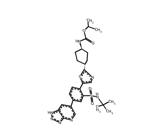 CC(C)OC(=O)N[C@H]1CC[C@H](c2ncc(-c3ccc(-c4cnc5nn[nH]c5c4)cc3S(=O)(=O)NC(C)(C)C)s2)CC1